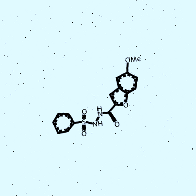 COc1ccc2oc(C(=O)NNS(=O)(=O)c3ccccc3)cc2c1